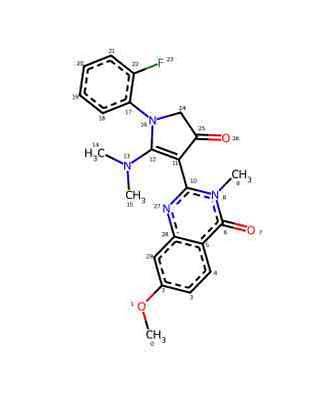 COc1ccc2c(=O)n(C)c(C3=C(N(C)C)N(c4ccccc4F)CC3=O)nc2c1